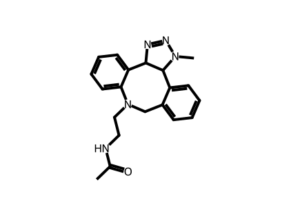 CC(=O)NCCN1Cc2ccccc2C2C(N=NN2C)c2ccccc21